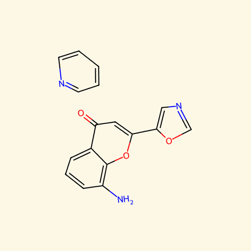 Nc1cccc2c(=O)cc(-c3cnco3)oc12.c1ccncc1